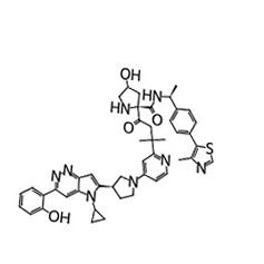 Cc1ncsc1-c1ccc([C@H](C)NC(=O)[C@]2(C(=O)CC(C)(C)c3cc(N4CC[C@@H](c5cc6nnc(-c7ccccc7O)cc6n5C5CC5)C4)ccn3)CC(O)CN2)cc1